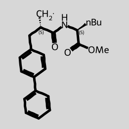 [CH2][C@@H](Cc1ccc(-c2ccccc2)cc1)C(=O)N[C@@H](CCCC)C(=O)OC